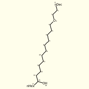 CCCCCCCCCCCCOCCCCCCCCCCCC(O)CCCCCC